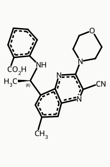 Cc1cc([C@@H](C)Nc2ccccc2C(=O)O)c2nc(N3CCOCC3)c(C#N)nc2c1